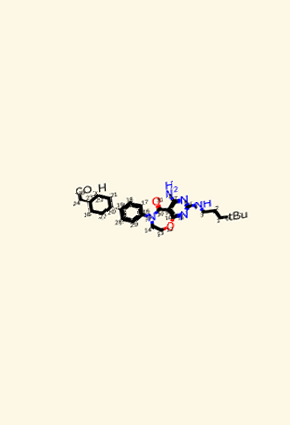 CC(C)(C)CCCNc1nc(N)c2c(n1)OCCN(c1ccc([C@H]3CC[C@H](CC(=O)O)CC3)cc1)C2=O